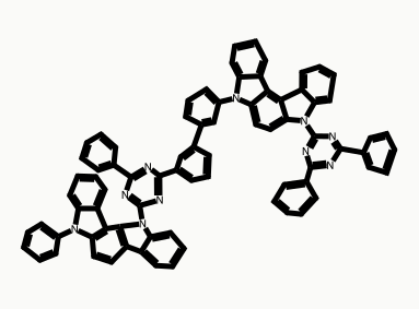 c1ccc(-c2nc(-c3ccccc3)nc(-n3c4ccccc4c4c5c6ccccc6n(-c6cccc(-c7cccc(-c8nc(-c9ccccc9)nc(-n9c%10ccccc%10c%10ccc%11c(c%12ccccc%12n%11-c%11ccccc%11)c%109)n8)c7)c6)c5ccc43)n2)cc1